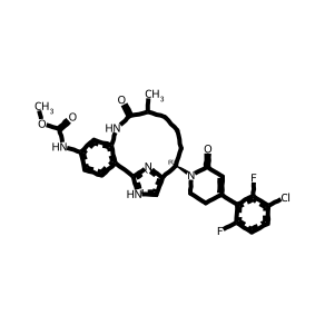 COC(=O)Nc1ccc2c(c1)NC(=O)C(C)CCC[C@@H](N1CCC(c3c(F)ccc(Cl)c3F)=CC1=O)c1c[nH]c-2n1